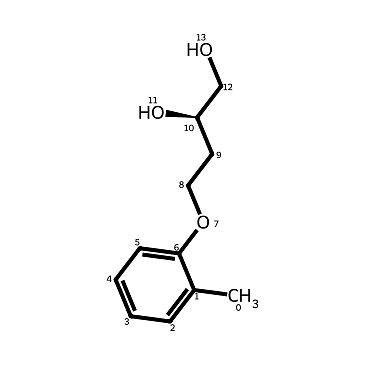 Cc1ccccc1OCC[C@@H](O)CO